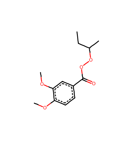 CC[C](C)OOC(=O)c1ccc(OC)c(OC)c1